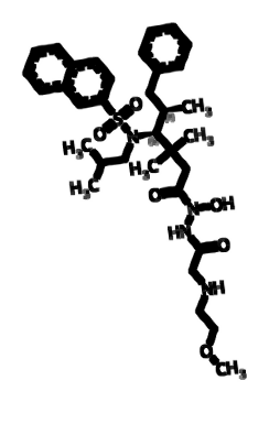 COCCNCC(=O)NN(O)C(=O)CC(C)(C)[C@H]([C@H](C)Cc1ccccc1)N(CC(C)C)S(=O)(=O)c1ccc2ccccc2c1